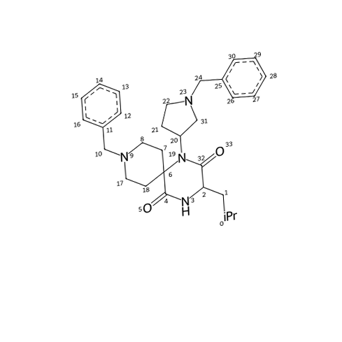 CC(C)CC1NC(=O)C2(CCN(Cc3ccccc3)CC2)N(C2CCN(Cc3ccccc3)C2)C1=O